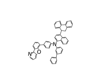 c1ccc(-c2cccc(N(c3ccc(-c4cccc5c4oc4cccnc45)cc3)c3ccc(C4Cc5ccccc5-c5ccccc54)c4ccccc34)c2)cc1